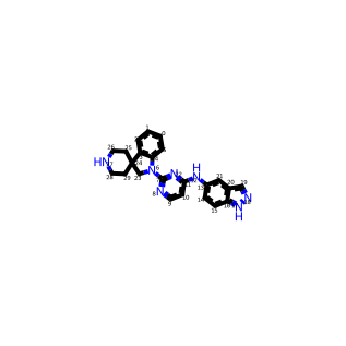 c1ccc2c(c1)N(c1nccc(Nc3ccc4[nH]ncc4c3)n1)CC21CCNCC1